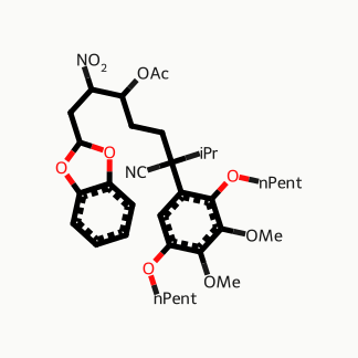 CCCCCOc1cc(C(C#N)(CCC(OC(C)=O)C(CC2Oc3ccccc3O2)[N+](=O)[O-])C(C)C)c(OCCCCC)c(OC)c1OC